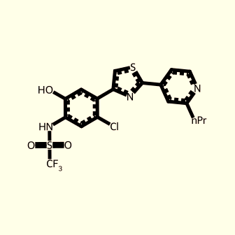 CCCc1cc(-c2nc(-c3cc(O)c(NS(=O)(=O)C(F)(F)F)cc3Cl)cs2)ccn1